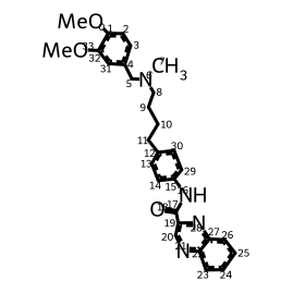 COc1ccc(CN(C)CCCCc2ccc(NC(=O)c3cnc4ccccc4n3)cc2)cc1OC